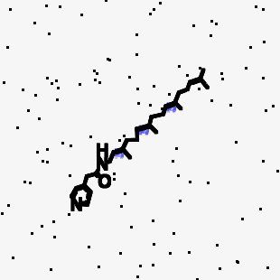 CC(C)=CCC/C(C)=C/CC/C(C)=C/CC/C(C)=C/CNC(=O)Cc1ccncc1